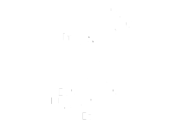 CCOC(CC)(OCC)Oc1cc2c(cc1Cl)-c1cc(=O)c(C(=O)O)cn1C(C(C)C)C2